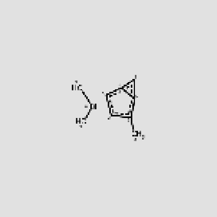 Cc1ccc2cc1-2.OBO